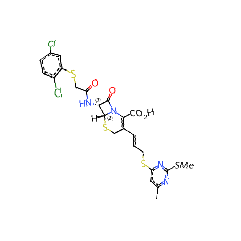 CSc1nc(C)cc(SCC=CC2=C(C(=O)O)N3C(=O)[C@@H](NC(=O)CSc4cc(Cl)ccc4Cl)[C@H]3SC2)n1